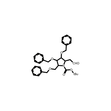 CC(C)(C)OC(=O)N1C(CC=O)C(OCc2ccccc2)C(OCc2ccccc2)C1COCc1ccccc1